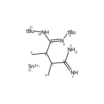 CC(C(=N)N)C(C)C(=NC(C)(C)C)NC(C)(C)C.[Sn+2]